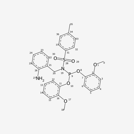 COc1ccccc1OP(Oc1ccccc1OC)N(Cc1ccccc1N)S(=O)(=O)c1ccc(C)cc1